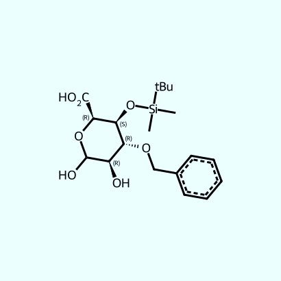 CC(C)(C)[Si](C)(C)O[C@H]1[C@H](OCc2ccccc2)[C@@H](O)C(O)O[C@H]1C(=O)O